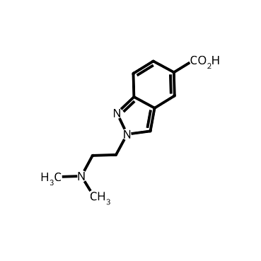 CN(C)CCn1cc2cc(C(=O)O)ccc2n1